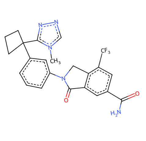 Cn1cnnc1C1(c2cccc(N3Cc4c(cc(C(N)=O)cc4C(F)(F)F)C3=O)c2)CCC1